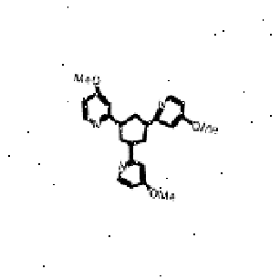 COc1ccnc(C2CC(c3cc(OC)ccn3)CC(c3cc(OC)ccn3)C2)c1